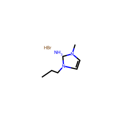 Br.CCCN1C=CN(C)C1.N